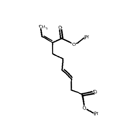 CC=C(CCC=CCC(=O)OC(C)C)C(=O)OC(C)C